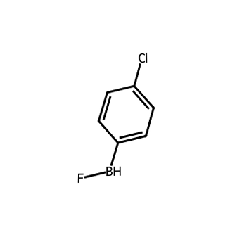 FBc1ccc(Cl)cc1